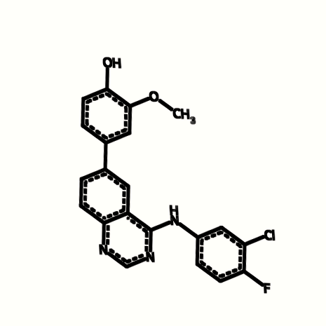 COc1cc(-c2ccc3ncnc(Nc4ccc(F)c(Cl)c4)c3c2)ccc1O